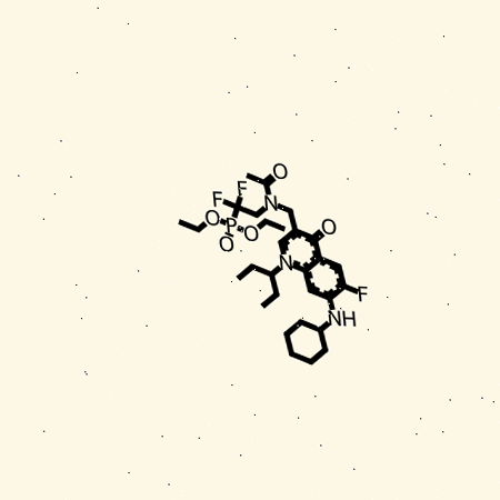 CCOP(=O)(OCC)C(F)(F)CN(Cc1cn(C(CC)CC)c2cc(NC3CCCCC3)c(F)cc2c1=O)C(C)=O